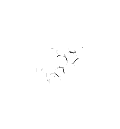 COC(=O)c1cc(Cl)ccc1-c1ccc(B(O)O)s1